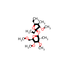 CC[C@H]1O[C@@](CC)(O[C@H]2O[C@H](COC)[C@@H](OC)[C@H](OC)[C@H]2C)[C@@H](OC)[C@@H]1C